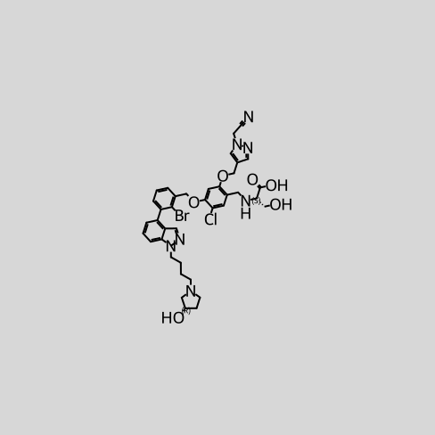 N#CCn1cc(COc2cc(OCc3cccc(-c4cccc5c4cnn5CCCCN4CC[C@@H](O)C4)c3Br)c(Cl)cc2CN[C@@H](CO)C(=O)O)cn1